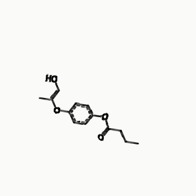 CCCC(=O)Oc1ccc(OC(C)=CO)cc1